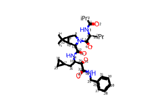 CC(C)C(=O)N[C@H](C(=O)N1CC2C(C1C(=O)NC(CC1CC1)C(=O)C(=O)NCc1ccccc1)C2(C)C)C(C)C